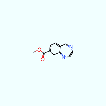 COC(=O)C1=CC=C2C=NC=CN=C2C1